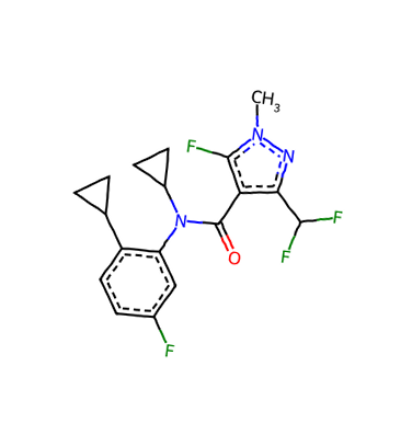 Cn1nc(C(F)F)c(C(=O)N(c2cc(F)ccc2C2CC2)C2CC2)c1F